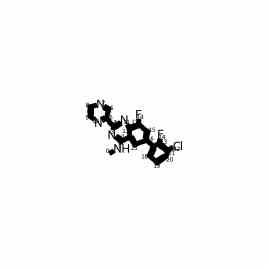 CNc1nc(-c2cnccn2)nc2c(F)cc(-c3cccc(Cl)c3F)cc12